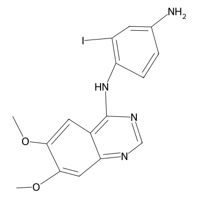 COc1cc2ncnc(Nc3ccc(N)cc3I)c2cc1OC